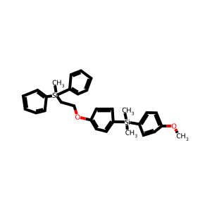 COc1ccc([Si](C)(C)c2ccc(OCC[Si](C)(c3ccccc3)c3ccccc3)cc2)cc1